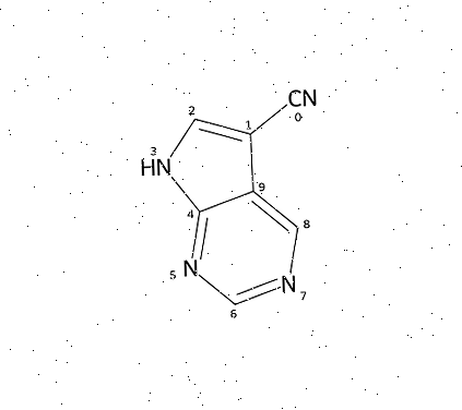 N#Cc1c[nH]c2ncncc12